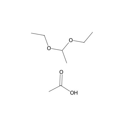 CC(=O)O.CCOC(C)OCC